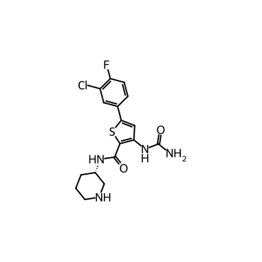 NC(=O)Nc1cc(-c2ccc(F)c(Cl)c2)sc1C(=O)N[C@H]1CCCNC1